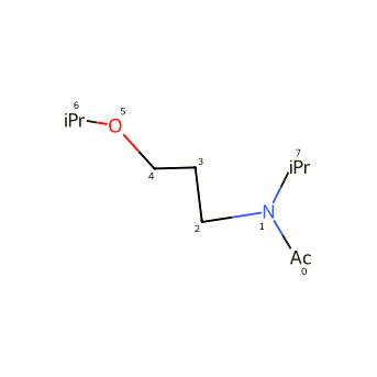 CC(=O)N(CCCOC(C)C)C(C)C